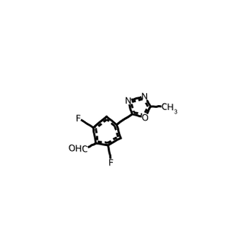 Cc1nnc(-c2cc(F)c(C=O)c(F)c2)o1